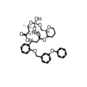 C[C@H](OP(=O)(O)OC[C@H]1OCCC[C@H]1OC(=O)CCc1ccccc1OCc1cccc(Oc2ccccc2)c1)[C@H](N)C(=O)O